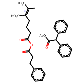 C/C(C(=O)O)=C(\CCCC(=O)OC(=O)CCc1ccccc1)C(=O)O.CC(=O)OC(=O)C(c1ccccc1)c1ccccc1